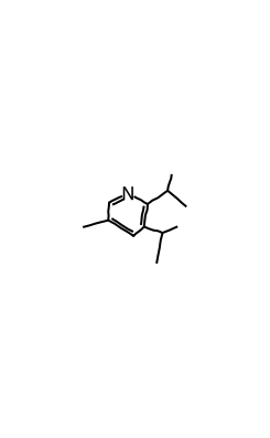 Cc1cnc(C(C)C)c(C(C)C)c1